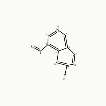 O=Cc1cncc2ccc(F)cc12